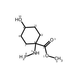 COC(=O)C1(NP)CCC(O)CC1